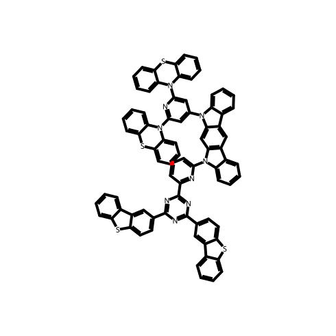 c1cc(-c2nc(-c3ccc4sc5ccccc5c4c3)nc(-c3ccc4sc5ccccc5c4c3)n2)nc(-n2c3ccccc3c3cc4c5ccccc5n(-c5cc(N6c7ccccc7Sc7ccccc76)nc(N6c7ccccc7Sc7ccccc76)c5)c4cc32)c1